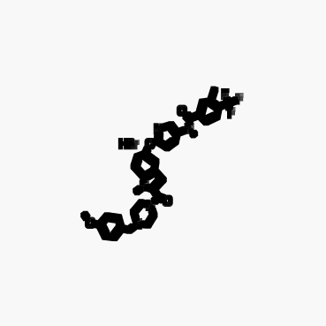 Br.COc1ccc(CN2CCN(C(=O)c3cc4cc(Oc5ccc(N(C)C(=O)c6ccc(C(F)(F)F)c(C)c6)cn5)ccc4n3C)CC2)cc1